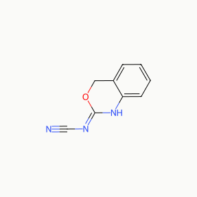 N#CN=C1Nc2ccccc2CO1